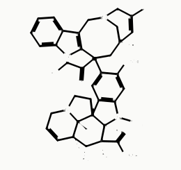 CCC1=C[C@@H]2CN(C1)Cc1c([nH]c3ccccc13)C(C(=O)CO)(c1cc3c(cc1OC)N(C)[C@@H]1C34CCN3CC=C[C@@](CC)([C@H]34)[C@@H](OC(C)=O)[C@]1(O)C(=O)OC)C2